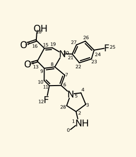 CNC1CCN(c2cc3c(cc2F)c(=O)c(C(=O)O)cn3-c2ccc(F)cc2)C1